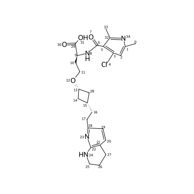 Cc1cc(Cl)c(C(=O)N[C@@H](CCO[C@H]2C[C@@H](CCc3ccc4c(n3)NCCC4)C2)C(=O)O)c(C)n1